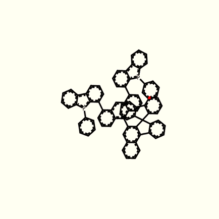 c1ccc(-p2c3ccccc3c3cccc(-c4cccc5c(-c6cc7ccccc7c7c6C6(c8ccccc8-c8ccccc86)c6ccccc6-7)c6cccc(-c7cccc8c9ccccc9p(-c9ccccc9)c78)c6cc45)c32)cc1